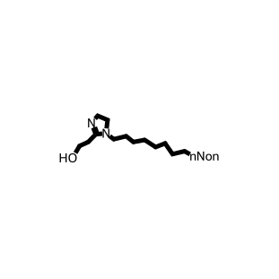 CCCCCCCCCCCCCCCCCN1CCN=C1CCO